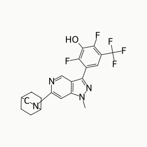 Cn1nc(-c2cc(C(F)(F)F)c(F)c(O)c2F)c2cnc(N3CC4CCC3CC4)cc21